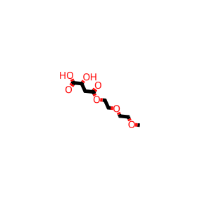 COCCOCCOC(=O)CC(O)C(=O)O